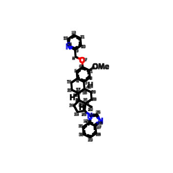 COc1cc2c(cc1OCc1ccccn1)CC[C@@H]1[C@@H]2CC[C@]2(C)C(n3cnc4ccccc43)CC[C@@H]12